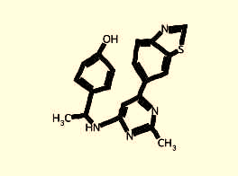 Cc1nc(NC(C)c2ccc(O)cc2)cc(-c2ccc3ncsc3c2)n1